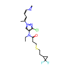 C=N/C=C\C=C(/C)n1cc(N(CC)C(=O)CCSCCC2CC2(F)F)c(Cl)n1